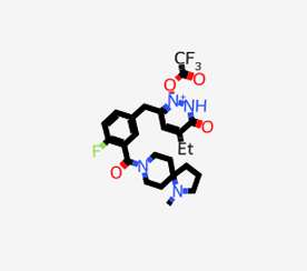 CCc1cc(Cc2ccc(F)c(C(=O)N3CCC4(CCCN4C)CC3)c2)[n+](OC(=O)C(F)(F)F)[nH]c1=O